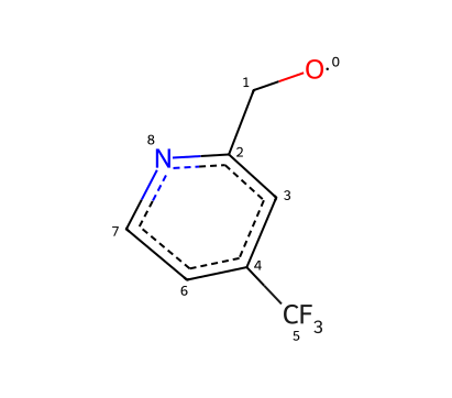 [O]Cc1cc(C(F)(F)F)ccn1